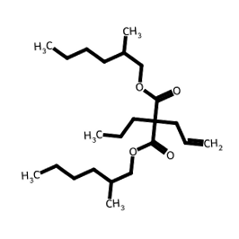 C=CCC(CCC)(C(=O)OCC(C)CCCC)C(=O)OCC(C)CCCC